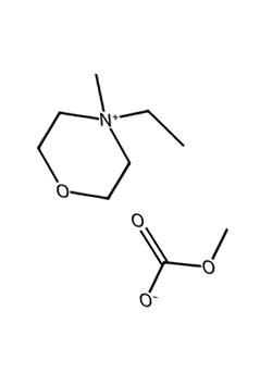 CC[N+]1(C)CCOCC1.COC(=O)[O-]